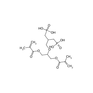 C=C(C)C(=O)OCC(COC(=O)C(=C)C)OCC(CP(=O)(O)O)CP(=O)(O)O